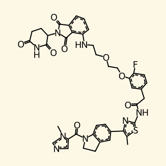 Cc1sc(NC(=O)Cc2ccc(F)c(OCCOCCNc3cccc4c3C(=O)N(C3CCC(=O)NC3=O)C4=O)c2)nc1-c1ccc2c(c1)CCN2C(=O)c1cncn1C